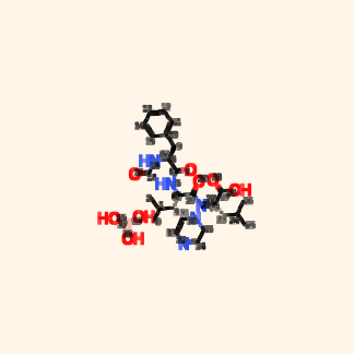 CC(C)C[C@H](NC(=O)[C@H](Cc1ccccc1)NC=O)C(=O)N([C@@H](CC(C)C)C(=O)O)N1C=CN=CC1.OB(O)O